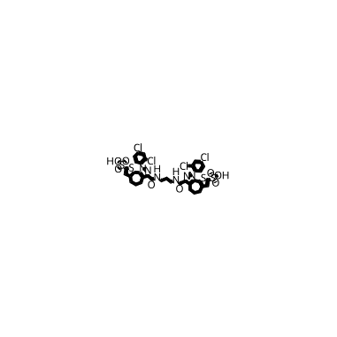 O=C(NCCCNC(=O)c1nn(-c2ccc(Cl)cc2Cl)c2c1CCCC1C=C(S(=O)(=O)O)SC21)c1nn(-c2ccc(Cl)cc2Cl)c2c1CCCc1cc(S(=O)(=O)O)sc1-2